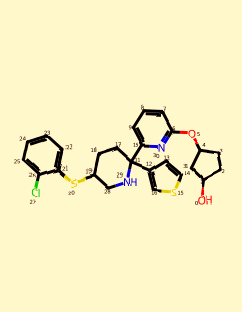 OC1CCC(Oc2cccc(C3(c4ccsc4)CCC(Sc4ccccc4Cl)CN3)n2)C1